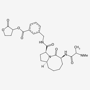 CNC(C)C(=O)N[C@H]1CCCC[C@H]2CC[C@@H](C(=O)NCc3cccc(C(=O)OC4CCOC4=O)c3)N2C1=O